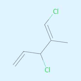 C=CC(Cl)C(C)=CCl